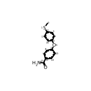 CSc1ccc(Oc2ccc(C(N)=O)cc2)cc1